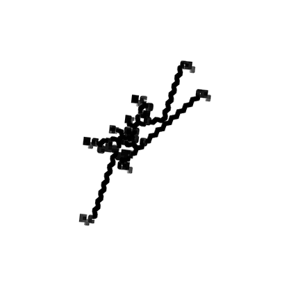 CCCCCCCCCCCCCCCCOCC(CNCC(C)=O)C(CBr)OP(=O)(OC(CBr)C(CNCC(C)=O)COCCCCCCCCCCCCCCCC)OC(CBr)C(CNCC(C)=O)COCCCCCCCCCCCCCCCC